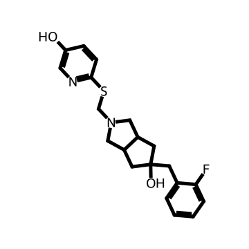 Oc1ccc(SCN2CC3CC(O)(Cc4ccccc4F)CC3C2)nc1